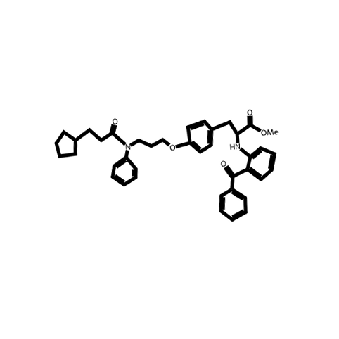 COC(=O)C(Cc1ccc(OCCCN(C(=O)CCC2CCCC2)c2ccccc2)cc1)Nc1ccccc1C(=O)c1ccccc1